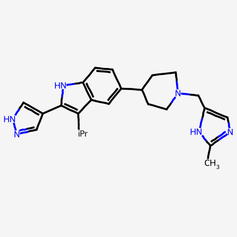 Cc1ncc(CN2CCC(c3ccc4[nH]c(-c5cn[nH]c5)c(C(C)C)c4c3)CC2)[nH]1